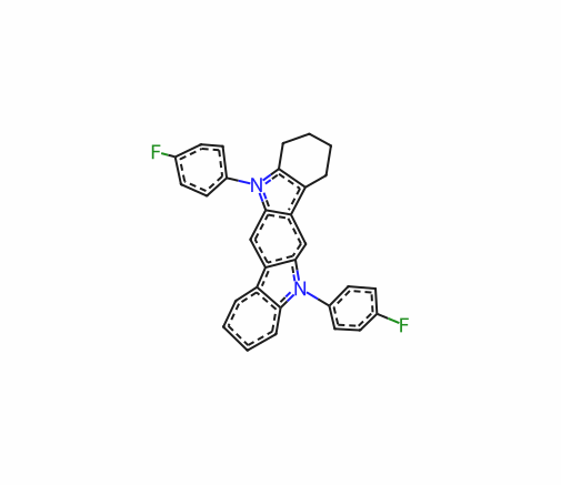 Fc1ccc(-n2c3c(c4cc5c(cc42)c2ccccc2n5-c2ccc(F)cc2)CCCC3)cc1